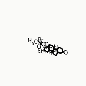 CC[C@H]1C[C@H]2[C@@H]3CCC4=CC(=O)CC[C@@H]4[C@H]3CC[C@]2(C)[C@H]1OC(=O)C(C)Br